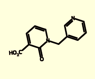 O=C(O)c1cccn(Cc2cccnc2)c1=O